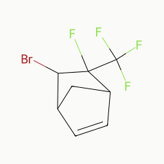 FC(F)(F)C1(F)C2C=CC(C2)C1Br